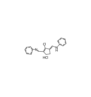 Cl.ClC1=C(C=Nc2ccccc2)CCC1=CNc1ccccc1